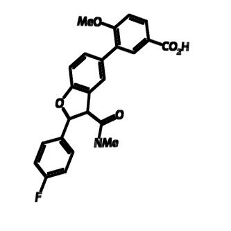 CNC(=O)C1c2cc(-c3cc(C(=O)O)ccc3OC)ccc2OC1c1ccc(F)cc1